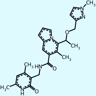 Cc1cc(C)c(CNC(=O)c2cc3cccn3c(C(C)OCc3ccn(C)n3)c2C)c(=O)[nH]1